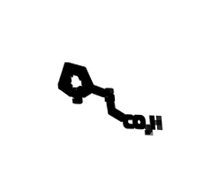 O=C(O)CSc1cccs1